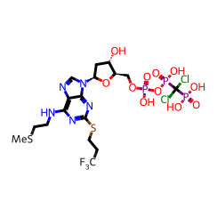 CSCCNc1nc(SCCC(F)(F)F)nc2c1ncn2[C@H]1C[C@H](O)[C@@H](COP(=O)(O)OP(=O)(O)C(Cl)(Cl)P(=O)(O)O)O1